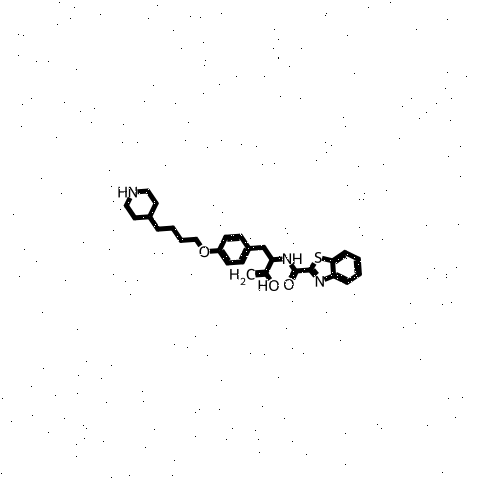 C=C(O)C(Cc1ccc(OCCCCC2CCNCC2)cc1)NC(=O)c1nc2ccccc2s1